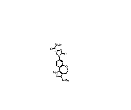 CNC(=O)[C@H]1CN(c2ccc3c(c2)OCCc2c(NC)n[nH]c2-3)C(=O)O1